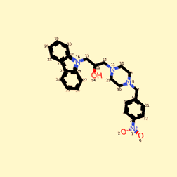 O=[N+]([O-])c1ccc(CN2CCN(CC(O)Cn3c4ccccc4c4ccccc43)CC2)cc1